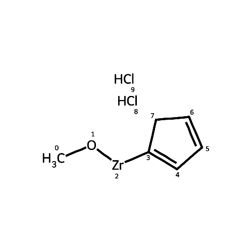 C[O][Zr][C]1=CC=CC1.Cl.Cl